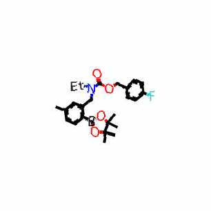 CCN(Cc1cc(C)ccc1B1OC(C)(C)C(C)(C)O1)C(=O)OCc1ccc(F)cc1